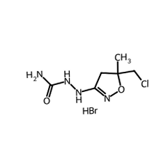 Br.CC1(CCl)CC(NNC(N)=O)=NO1